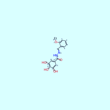 CCOc1ccccc1C=NNC(=O)c1cc(O)c(O)c(O)c1